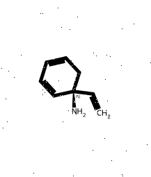 C=C[C@]1(N)C=CC=CC1